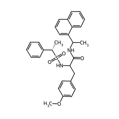 COc1ccc(CC(NS(=O)(=O)[C@@H](C)c2ccccc2)C(=O)NC(C)c2cccc3ccccc23)cc1